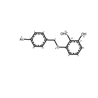 CC(=O)c1ccc(COc2cccc(O)c2C=O)cc1